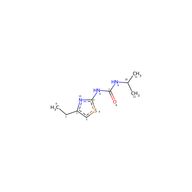 CCc1csc(NC(=O)NC(C)C)n1